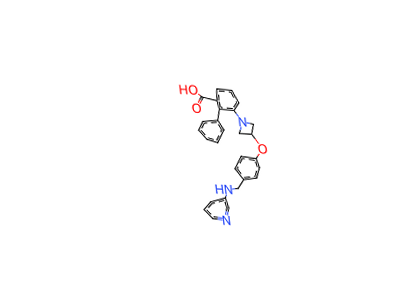 O=C(O)c1cccc(N2CC(Oc3ccc(CNc4cccnc4)cc3)C2)c1-c1ccccc1